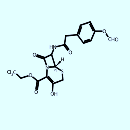 O=COc1ccc(CC(=O)NC2C(=O)N3C(C(=O)OCC(Cl)(Cl)Cl)=C(O)CS[C@@H]23)cc1